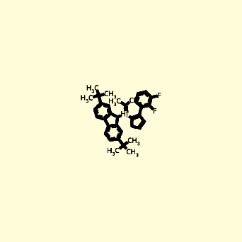 C[C](C)=[Hf]([C]1=C(c2cccc(F)c2F)C=CC1)[CH]1c2cc(C(C)(C)C)ccc2-c2ccc(C(C)(C)C)cc21